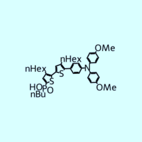 CCCCCCc1cc(-c2sc(P(=O)(O)CCCC)cc2CCCCCC)sc1-c1ccc(N(c2ccc(OC)cc2)c2ccc(OC)cc2)cc1